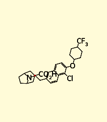 O=C(O)C1CC2CCC(C1)N2CCc1ccc2c(Cl)c(OC3CCC(C(F)(F)F)CC3)ccc2c1